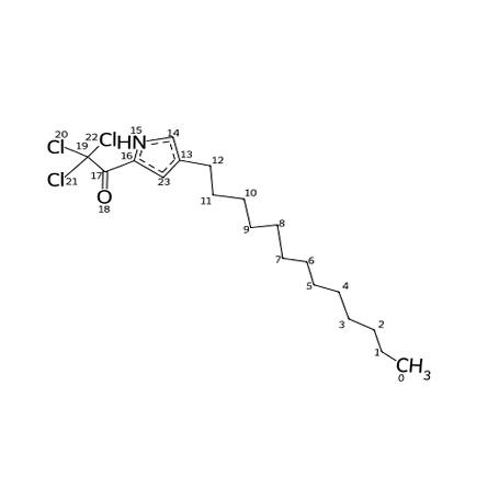 CCCCCCCCCCCCCc1c[nH]c(C(=O)C(Cl)(Cl)Cl)c1